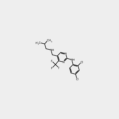 CC(C)CNCc1cnc(Nc2ccc(Cl)cc2Cl)nc1C(F)(F)F